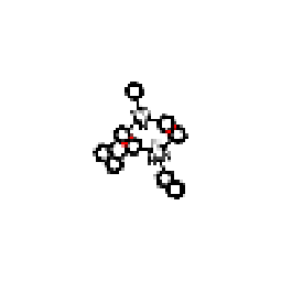 c1ccc(-c2nc(-c3ccccc3)nc(-c3ccc(-c4cccc5cccc(-c6cccc(-c7nc(-c8ccccc8)nc(-c8ccc9ccccc9c8)n7)c6)c45)cc3)n2)cc1